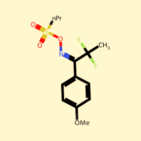 CCCS(=O)(=O)ON=C(c1ccc(OC)cc1)C(C)(F)F